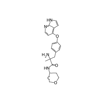 CC(N)(Cc1ccc(Oc2ccnc3[nH]ccc23)cc1)C(=O)NC1CCOCC1